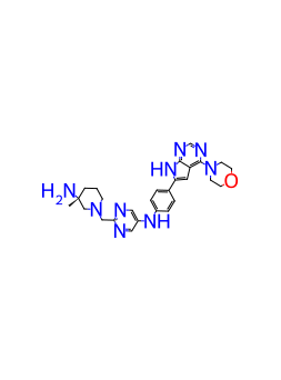 C[C@@]1(N)CCCN(Cc2ncc(Nc3ccc(-c4cc5c(N6CCOCC6)ncnc5[nH]4)cc3)cn2)C1